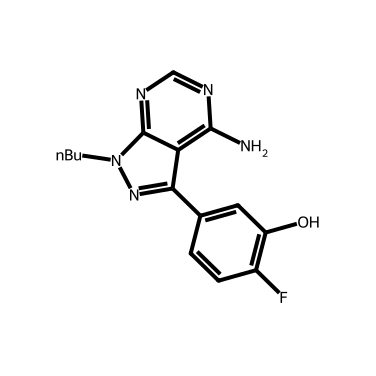 CCCCn1nc(-c2ccc(F)c(O)c2)c2c(N)ncnc21